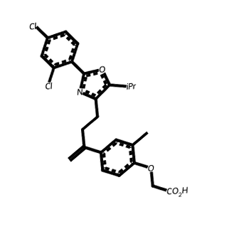 C=C(CCc1nc(-c2ccc(Cl)cc2Cl)oc1C(C)C)c1ccc(OCC(=O)O)c(C)c1